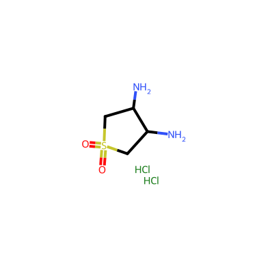 Cl.Cl.NC1CS(=O)(=O)CC1N